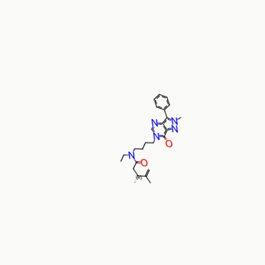 C=C(C)[C@H](C)CC(=O)N(CC)CCCCn1cnc2c(-c3ccccc3)n(C)nc2c1=O